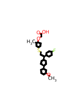 COc1cccc(-c2ccc(/C(=C/CSc3ccc(OCC(=O)O)c(C)c3)c3ccc(F)cc3)cc2)c1